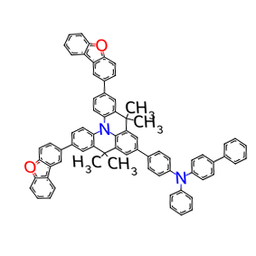 CC1(C)c2cc(-c3ccc4oc5ccccc5c4c3)ccc2N2c3ccc(-c4ccc5oc6ccccc6c5c4)cc3C(C)(C)c3cc(-c4ccc(N(c5ccccc5)c5ccc(-c6ccccc6)cc5)cc4)cc1c32